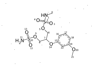 CNS(=O)(=O)OCC(COS(N)(=O)=O)Oc1cccc(OC)c1